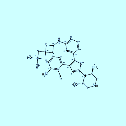 C[C@H]1CNC[C@H](C)N1c1nc(-c2cccc(N)c2F)c(-c2ccnc(NC3CC4(C3)CS(O)(O)C4)n2)s1